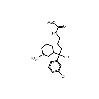 COC(=O)NCCCC(O)(c1cccc(Cl)c1)C1CCCN(C(=O)O)C1